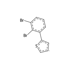 Brc1cccc(-c2c[c]cs2)c1Br